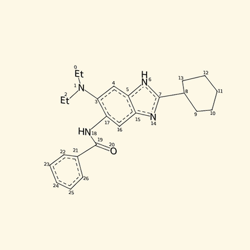 CCN(CC)c1cc2[nH]c(C3CCCCC3)nc2cc1NC(=O)c1ccccc1